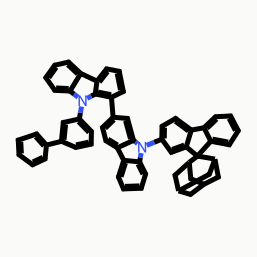 c1ccc(-c2cccc(-n3c4ccccc4c4cccc(-c5ccc6c7ccccc7n(-c7ccc8c(c7)C7(c9ccccc9-8)C8CC9CC(C8)CC7C9)c6c5)c43)c2)cc1